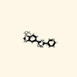 Cn1cnc2cc(-c3nc(-c4cccnc4)no3)ccc21